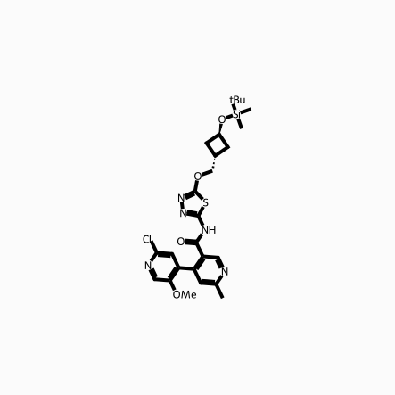 COc1cnc(Cl)cc1-c1cc(C)ncc1C(=O)Nc1nnc(OC[C@H]2C[C@H](O[Si](C)(C)C(C)(C)C)C2)s1